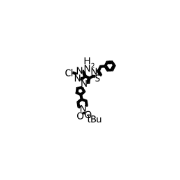 CC(C)(C)OC(=O)N1CCC(C2CCC(n3cc(-c4nc(Cc5ccccc5)cs4)c4c(N)nc(Cl)nc43)C2)CC1